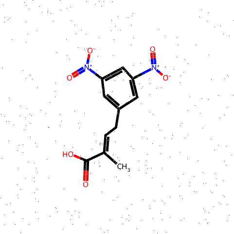 C/C(=C\Cc1cc([N+](=O)[O-])cc([N+](=O)[O-])c1)C(=O)O